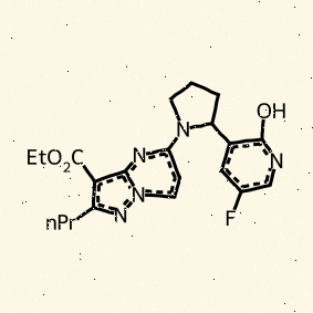 CCCc1nn2ccc(N3CCCC3c3cc(F)cnc3O)nc2c1C(=O)OCC